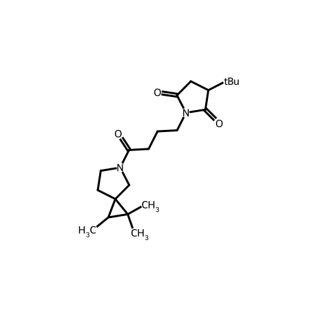 CC1C(C)(C)C12CCN(C(=O)CCCN1C(=O)CC(C(C)(C)C)C1=O)C2